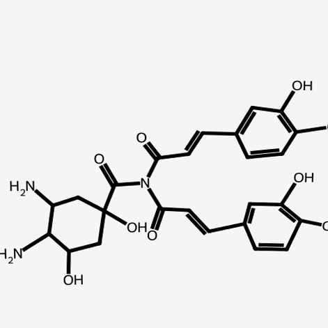 NC1CC(O)(C(=O)N(C(=O)C=Cc2ccc(O)c(O)c2)C(=O)C=Cc2ccc(O)c(O)c2)CC(O)C1N